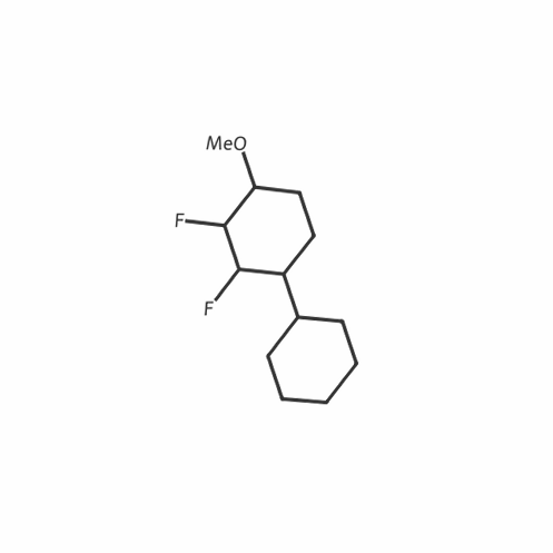 COC1CCC(C2CCCCC2)C(F)C1F